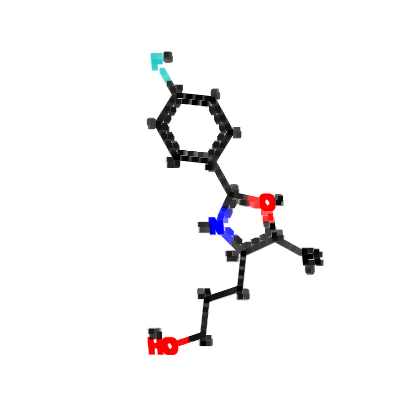 CCc1oc(-c2ccc(F)cc2)nc1CCCO